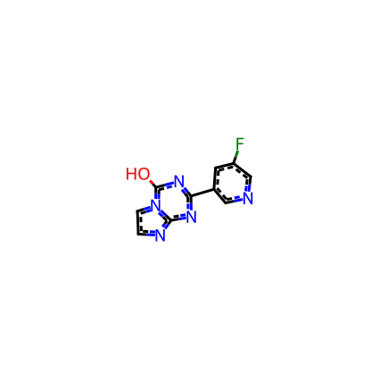 Oc1nc(-c2cncc(F)c2)nc2nccn12